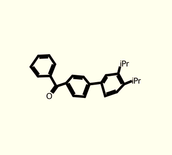 CC(C)c1ccc(-c2ccc(C(=O)c3ccccc3)cc2)cc1C(C)C